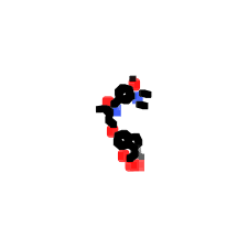 CCN(CC)c1cc(-c2nc(CCOc3ccc4c(c3)CC[C@H]4[C@H](C)C(=O)O)c(C)o2)ccc1OC